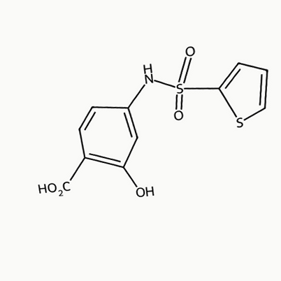 O=C(O)c1ccc(NS(=O)(=O)c2cccs2)cc1O